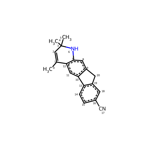 CC1=CC(C)(C)Nc2cc3c(cc21)-c1ccc(C#N)cc1C3